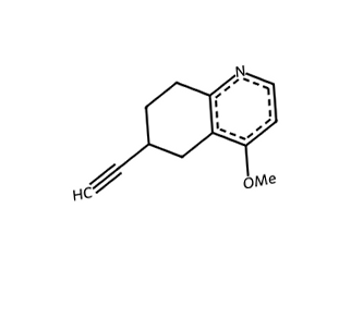 C#CC1CCc2nccc(OC)c2C1